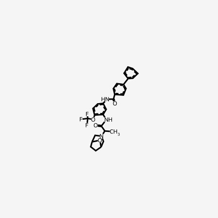 CC(C(=O)Nc1cc(NC(=O)c2ccc(-c3ccccc3)cc2)ccc1OC(F)(F)F)N1CC2CCC(C1)O2